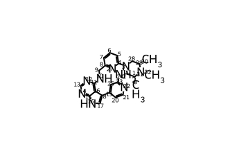 C[C@@H]1CN(c2cccc(CNc3ncnc4[nH]cc(-c5ccnc(N)c5)c34)n2)C[C@H](C)N1C